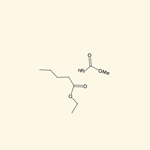 CCCC(=O)OC.CCCCC(=O)OCC